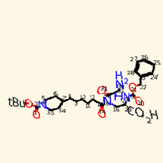 CC(C)(C)OC(=O)N1CCC(CCCCCC(=O)N(C[C@H](NC(=O)OCc2ccccc2)C(=O)O)C(=O)CN)CC1